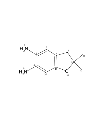 CC1(C)Cc2cc(N)c(N)cc2O1